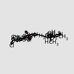 CCCC[C@@H](CC(NCCCCCCCCCN1CCN(CCC(CSc2ccccc2)Nc2ccc(S(=O)(=O)NC(=O)c3ccc(N4CCN(CC5=C(c6ccc(Cl)cc6)CCC(C)(C)C5)CC4)cc3)cc2S(=O)(=O)C(F)(F)F)CC1)C(C)(C)C)N1C[C@H](O)C[C@H]1C(=O)NCc1ccc(-c2scnc2C)cc1